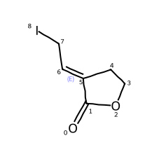 O=C1OCC/C1=C\CI